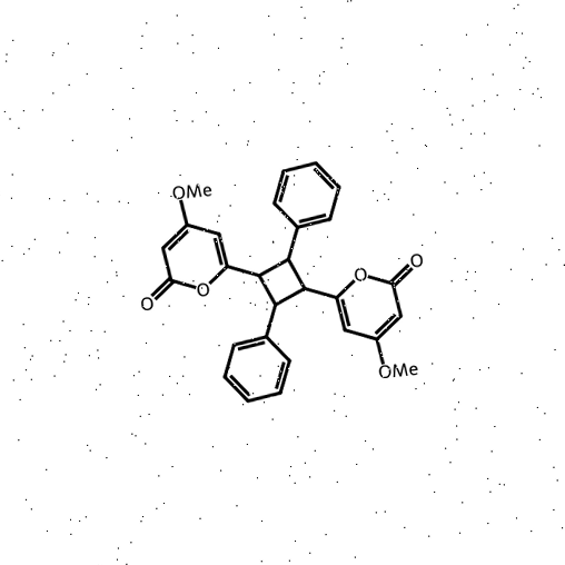 COc1cc(C2C(c3ccccc3)C(c3cc(OC)cc(=O)o3)C2c2ccccc2)oc(=O)c1